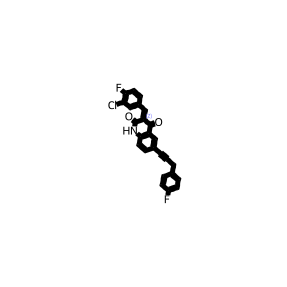 O=C1Nc2ccc(C#CCc3ccc(F)cc3)cc2C(=O)/C1=C/c1ccc(F)c(Cl)c1